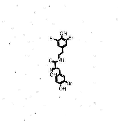 O=C(NCCc1cc(Br)c(O)c(Br)c1)/C(Cc1ccc(O)c(Br)c1)=N/O